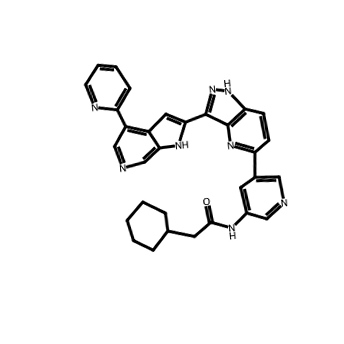 O=C(CC1CCCCC1)Nc1cncc(-c2ccc3[nH]nc(-c4cc5c(-c6ccccn6)cncc5[nH]4)c3n2)c1